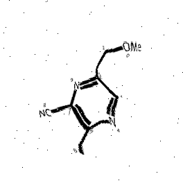 COCc1cnc(C)c(C#N)n1